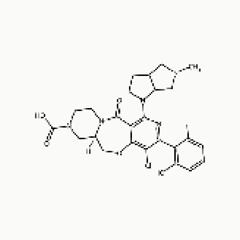 CN1CC2CCN(c3nc(-c4c(O)cccc4F)c(Cl)c4c3C(=O)N3CCN(C(=O)O)C[C@@H]3CO4)C2C1